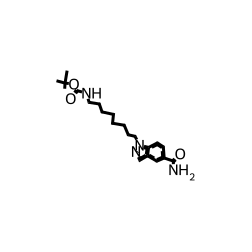 CC(C)(C)OC(=O)NCCCCCCCCn1ncc2cc(C(N)=O)ccc21